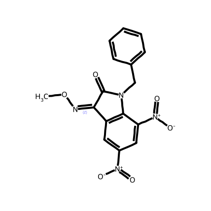 CO/N=C1\C(=O)N(Cc2ccccc2)c2c1cc([N+](=O)[O-])cc2[N+](=O)[O-]